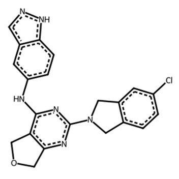 Clc1ccc2c(c1)CN(c1nc3c(c(Nc4ccc5[nH]ncc5c4)n1)COC3)C2